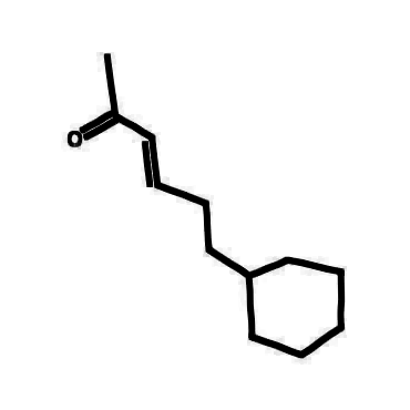 CC(=O)C=CCCC1CCCCC1